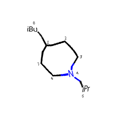 CCC(C)C1CCN(C(C)C)CC1